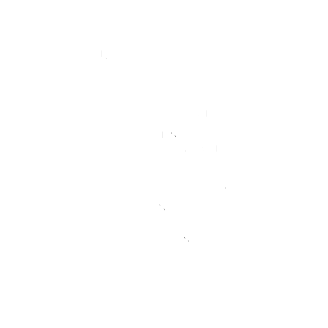 C=C=CCNCc1nccc(C(=C)NC(=C)CCc2ccc(F)c(C)c2)c1C